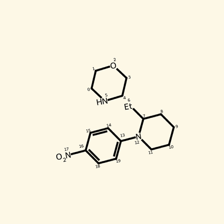 C1COCCN1.CCC1CCCCN1c1ccc([N+](=O)[O-])cc1